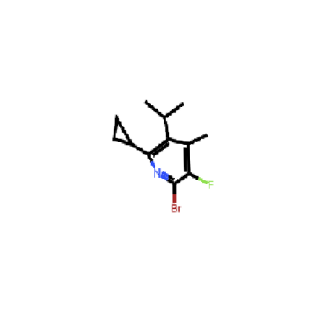 Cc1c(F)c(Br)nc(C2CC2)c1C(C)C